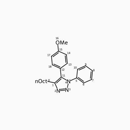 CCCCCCCCc1nnn(-c2ccccc2)c1-c1ccc(OC)cc1